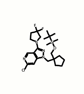 CC(C)(C)[Si](C)(C)OCC1(Cn2nc(N3CCC(F)(F)C3)c3cnc(Cl)cc32)CCCC1